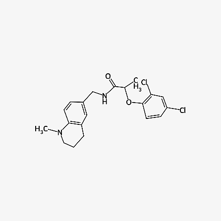 CC(Oc1ccc(Cl)cc1Cl)C(=O)NCc1ccc2c(c1)CCCN2C